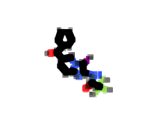 O=C(c1ccccc1)c1ccc2nc(NC(=O)C(F)(F)F)c(I)n2c1